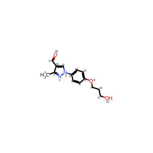 Cc1nn(-c2ccc(OCCCO)cc2)cc1C=O